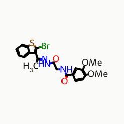 COc1ccc(C(=O)NCC(=O)N/N=C(\C)c2c(Br)sc3ccccc23)cc1OC